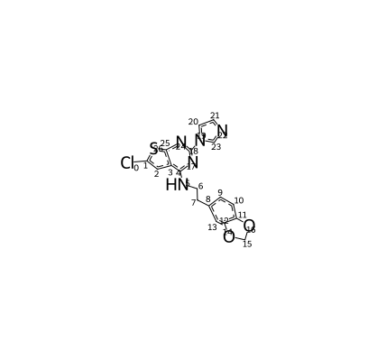 Clc1cc2c(NCCc3ccc4c(c3)OCO4)nc(-n3ccnc3)nc2s1